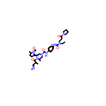 CCN(CCC(=O)N1CCCC1)C(=O)Nc1ccc(NC(=O)N(C/C=C2/CCC(C)N2C=O)CC(C)NC(=O)C(C)/C=N/C)cc1